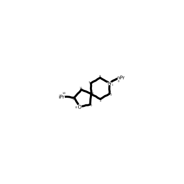 CCCN1CCC2(CC1)COC(C(C)C)C2